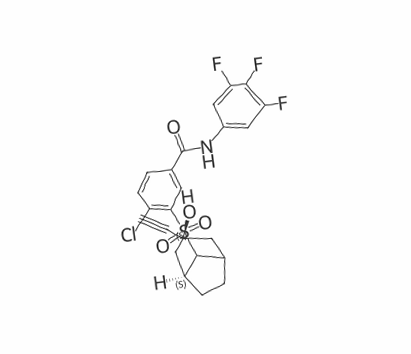 C#C[C@]1(O)CC2CC[C@@H](C1)C2S(=O)(=O)c1cc(C(=O)Nc2cc(F)c(F)c(F)c2)ccc1Cl